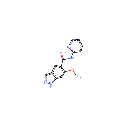 COc1cc2[nH]ncc2cc1C(=O)Nc1ccccn1